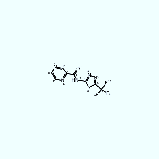 O=C(Nc1nnc(C(F)(F)F)s1)c1cnccn1